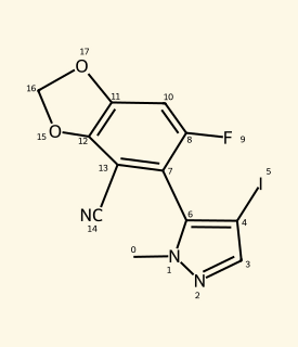 Cn1ncc(I)c1-c1c(F)cc2c(c1C#N)OCO2